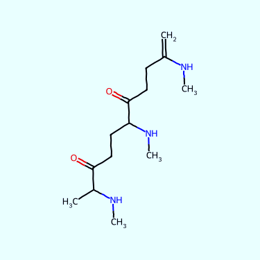 C=C(CCC(=O)C(CCC(=O)C(C)NC)NC)NC